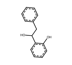 Oc1ccccc1C(O)Cc1ccccc1